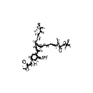 COC(=O)Nc1ccc(-c2cn(COCC[Si](C)(C)C)c(CCC=CNC(=O)OC(C)(C)C)n2)c(O)c1